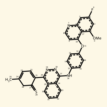 COc1cc(F)cc2nccc(Oc3ccc(Nc4nnc(C5=CC=C(C)CC5=S)c5ccccc45)cc3)c12